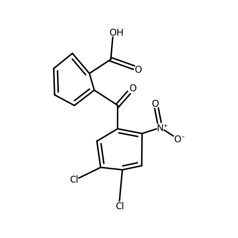 O=C(O)c1ccccc1C(=O)c1cc(Cl)c(Cl)cc1[N+](=O)[O-]